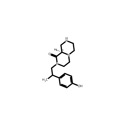 CC(CN1CCN2CCNC[C@@H]2C1=O)c1ccc(O)cc1